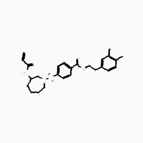 C=CC(=O)NC1CCCCN(S(=O)(=O)c2ccc(C(=O)NCCc3ccc(C)c(C)c3)cc2)C1